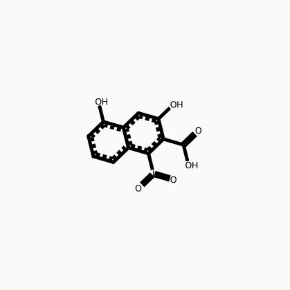 O=C(O)c1c(O)cc2c(O)cccc2c1I(=O)=O